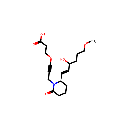 COCCCC(O)/C=C/[C@H]1CCCC(=O)N1CC#COCCC(=O)O